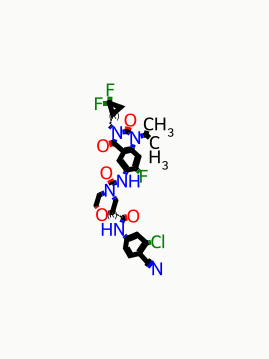 CC(C)n1c(=O)n(C[C@H]2CC2(F)F)c(=O)c2cc(NC(=O)N3CCO[C@@H](C(=O)Nc4ccc(C#N)c(Cl)c4)C3)c(F)cc21